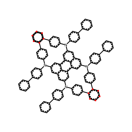 c1ccc(-c2ccc(N(c3ccc(-c4ccccc4)cc3)c3cc4cc(N(c5ccc(-c6ccccc6)cc5)c5ccc(-c6ccccc6)cc5)cc5c6cc(N(c7ccc(-c8ccccc8)cc7)c7ccc(-c8ccccc8)cc7)cc7cc(N(c8ccc(-c9ccccc9)cc8)c8ccc(-c9ccccc9)cc8)cc(c(c3)c45)c76)cc2)cc1